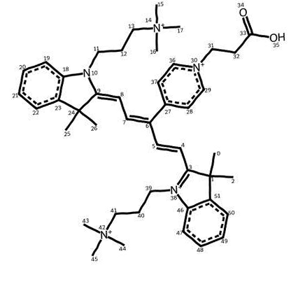 CC1(C)C(/C=C/C(=C/C=C2/N(CCC[N+](C)(C)C)c3ccccc3C2(C)C)c2cc[n+](CCC(=O)O)cc2)=[N+](CCC[N+](C)(C)C)c2ccccc21